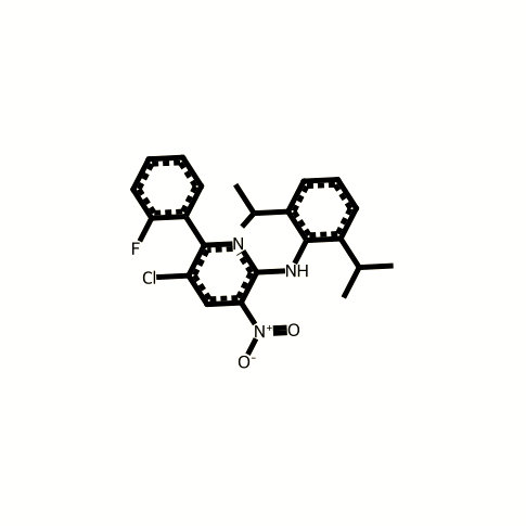 CC(C)c1cccc(C(C)C)c1Nc1nc(-c2ccccc2F)c(Cl)cc1[N+](=O)[O-]